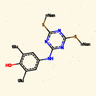 CCCCCCCCCSc1nc(Nc2cc(C(C)(C)C)c(O)c(C(C)(C)C)c2)nc(SCCCCCCCCC)n1